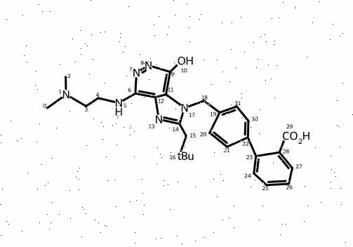 CN(C)CCNc1nnc(O)c2c1nc(CC(C)(C)C)n2Cc1ccc(-c2ccccc2C(=O)O)cc1